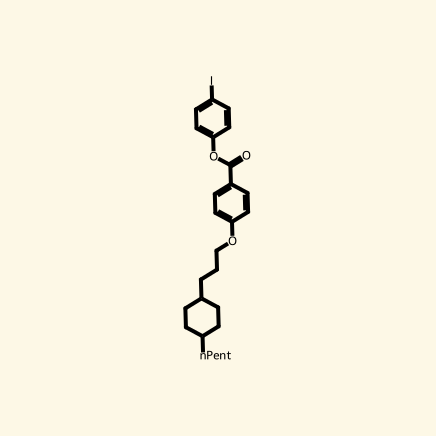 CCCCCC1CCC(CCCOc2ccc(C(=O)Oc3ccc(I)cc3)cc2)CC1